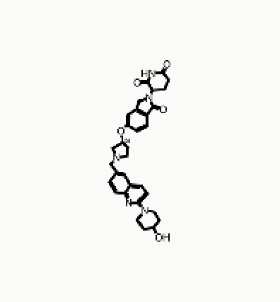 O=C1CCC(N2Cc3cc(O[C@H]4CCN(Cc5ccc6nc(N7CCC(O)CC7)ccc6c5)C4)ccc3C2=O)C(=O)N1